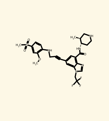 COc1cc(S(C)(=O)=O)ccc1NCC#Cc1cc(C(=O)N[C@H]2CCNC[C@@H]2C)c2ncn(CC(F)(F)F)c2c1